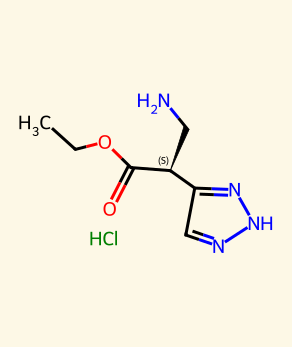 CCOC(=O)[C@@H](CN)c1cn[nH]n1.Cl